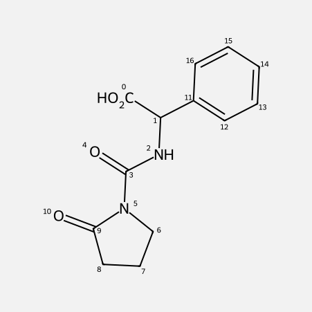 O=C(O)C(NC(=O)N1CCCC1=O)c1ccccc1